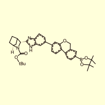 CC(C)(C)OC(=O)N1[C@H]2CCC(C2)[C@@H]1c1nc2ccc(-c3ccc4c(c3)OCc3cc(B5OC(C)(C)C(C)(C)O5)ccc3-4)cc2[nH]1